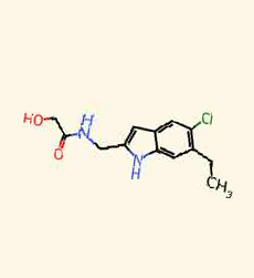 CCc1cc2[nH]c(CNC(=O)CO)cc2cc1Cl